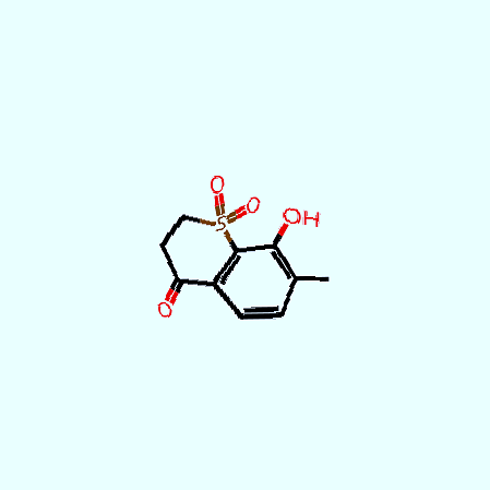 Cc1ccc2c(c1O)S(=O)(=O)CCC2=O